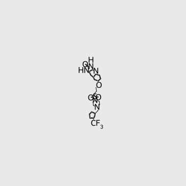 O=c1[nH]c2cc3cc(OCCCS(=O)(=O)N4CCN(Cc5cccc(C(F)(F)F)c5)CC4)ccc3nc2[nH]1